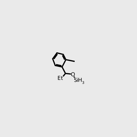 CCC(O[SiH3])c1ccccc1C